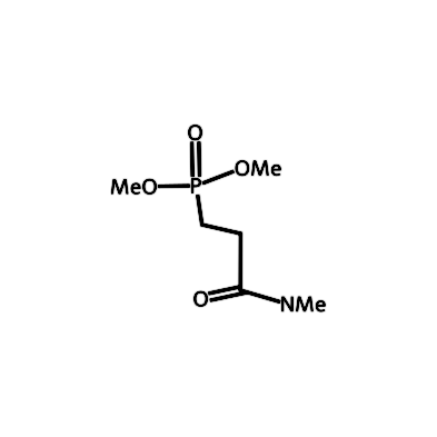 CNC(=O)CCP(=O)(OC)OC